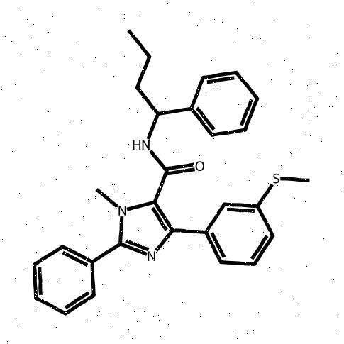 CCCC(NC(=O)c1c(-c2cccc(SC)c2)nc(-c2ccccc2)n1C)c1ccccc1